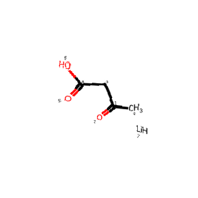 CC(=O)CC(=O)O.[LiH]